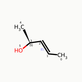 C/C=C/[C@H](C)O